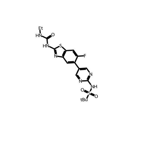 CCNC(=O)Nc1nc2cc(-c3cnc(NS(=O)(=O)C(C)(C)C)nc3)c(F)cc2s1